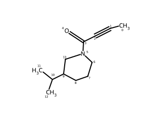 CC#CC(=O)N1CCCC(C(C)C)C1